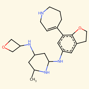 CC1CC(NC2COC2)CC(Nc2cc3c(c(C4=CCNCCC4)c2)OCC3)N1